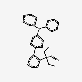 CCC(CC)(P=O)c1ccccc1-c1ccc(N(c2ccccc2)c2ccccc2)cc1